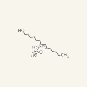 CCCCCCCCCCCCCCO.N.O=S(=O)(O)O